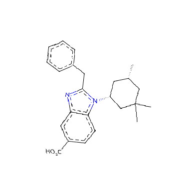 C[C@H]1C[C@@H](n2c(Cc3ccccc3)nc3cc(C(=O)O)ccc32)CC(C)(C)C1